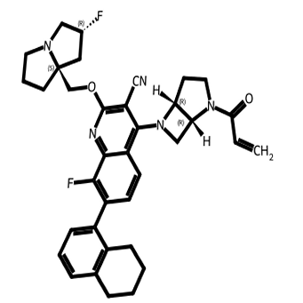 C=CC(=O)N1CC[C@@H]2[C@H]1CN2c1c(C#N)c(OC[C@@]23CCCN2C[C@H](F)C3)nc2c(F)c(-c3cccc4c3CCCC4)ccc12